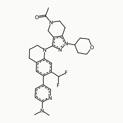 CC(=O)N1CCc2c(c(N3CCCc4cc(-c5ccc(N(C)C)nc5)c(C(F)F)cc43)nn2C2CCOCC2)C1